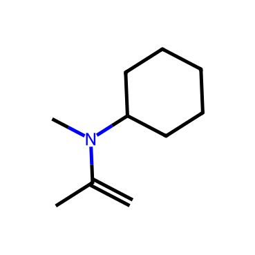 C=C(C)N(C)C1CCCCC1